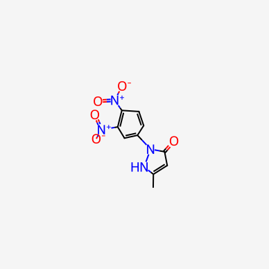 Cc1cc(=O)n(-c2ccc([N+](=O)[O-])c([N+](=O)[O-])c2)[nH]1